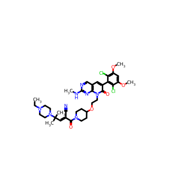 CCN1CCN(C(C)(C)C=C(C#N)C(=O)N2CCC(OCCn3c(=O)c(-c4c(Cl)c(OC)cc(OC)c4Cl)cc4cnc(NC)nc43)CC2)CC1